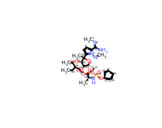 C=Nn1c(/C(N)=N\C)ccc1[C@]1(C)O[C@H](COP(=O)(N[C@@H](C)C(=O)OCC(CC)CC)Oc2ccccc2)[C@@H](O)[C@H]1O